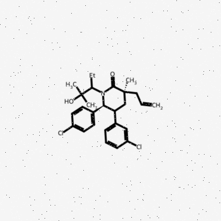 C=CC[C@@]1(C)CC(c2cccc(Cl)c2)[C@@H](c2ccc(Cl)cc2)N(C(CC)C(C)(C)O)C1=O